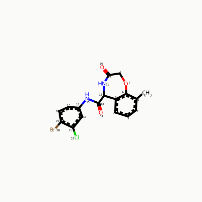 Cc1cccc2c1OCC(=O)NC2C(=O)Nc1ccc(Br)c(Cl)c1